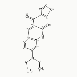 CCN(CC)c1ccc2cc(C(=O)c3ccsc3)c(=O)oc2c1